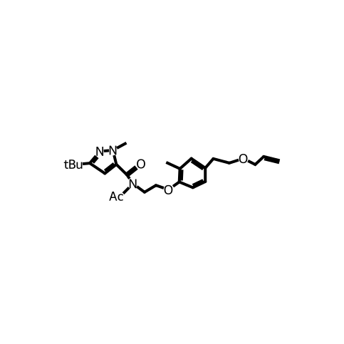 C=CCOCCc1ccc(OCCN(C(C)=O)C(=O)c2cc(C(C)(C)C)nn2C)c(C)c1